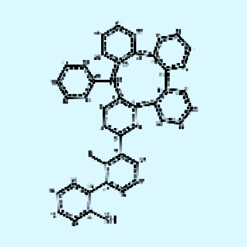 Cc1c(-c2ccc3c(c2)c2ccccc2c2ccccc2c2ccccc2n3-c2ccccc2)cccc1-c1ccccc1S